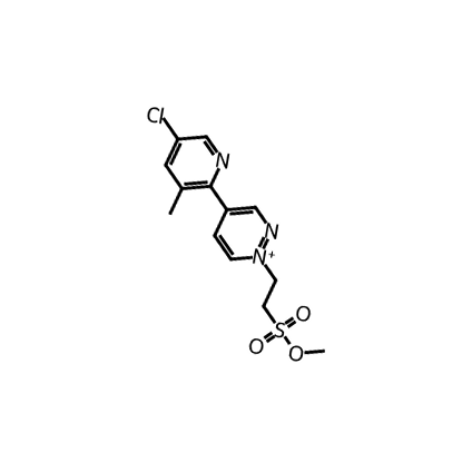 COS(=O)(=O)CC[n+]1ccc(-c2ncc(Cl)cc2C)cn1